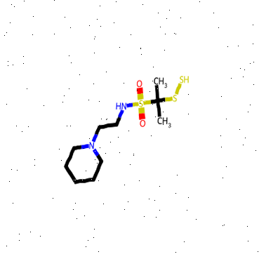 CC(C)(SS)S(=O)(=O)NCCN1CCCCC1